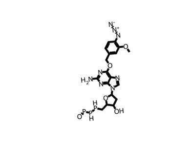 COc1cc(COc2nc(N)nc3c2ncn3C2CC(O)C(CPPP=O)O2)ccc1N=[N+]=[N-]